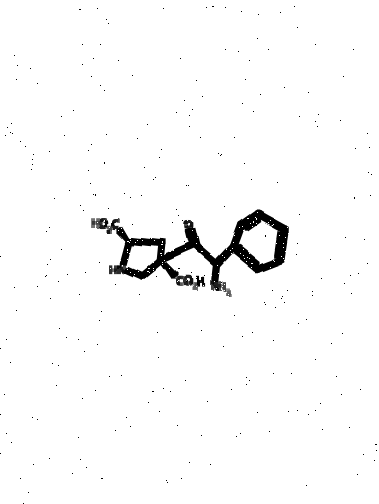 NC(C(=O)[C@]1(C(=O)O)CN[C@@H](C(=O)O)C1)c1ccccc1